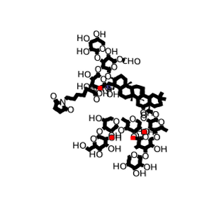 CC1OC(OC2C(C)OC(OC(=O)[C@]34CCC(C)(C)CC3C3=CCC5[C@@]6(C)CC[C@H](OC7OC(OC=O)C(O)C(OC8OCC(O)C(O)C8O)C7OC7OC(CO)C(O)C(O)C7O)[C@@](C)(/C=N/NC(=O)CCCCCN7C(=O)C=CC7=O)C6CC[C@@]5(C)[C@]3(C)CC4O)C(OC3OC(C)C(OC4OCC(O)C(OC5OC(CO)C(O)C(O)C5O)C4O)C(O)C3O)C2O)C(O)C(OC2OCC(O)C(O)C2O)C1C